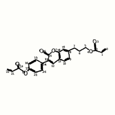 C=CC(=O)OCCCc1ccc2cc(-c3ccc(OC(=O)C=C)cc3)c(=O)oc2c1